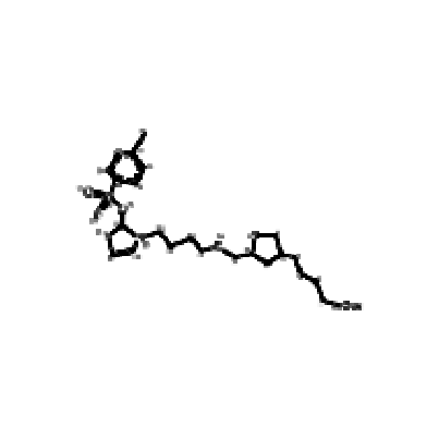 CCCCCCCCCCCCCCC1COC(COCCCCN2C=CSC2OS(=O)(=O)c2ccc(C)cc2)C1